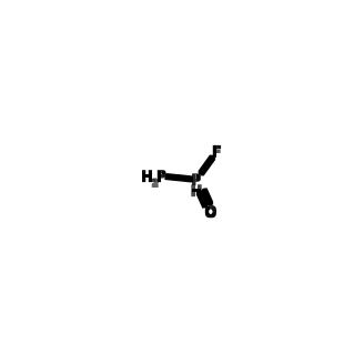 O=[PH](F)P